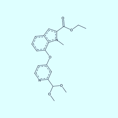 CCOC(=O)c1cc2cccc(Oc3ccnc(C(OC)OC)c3)c2n1C